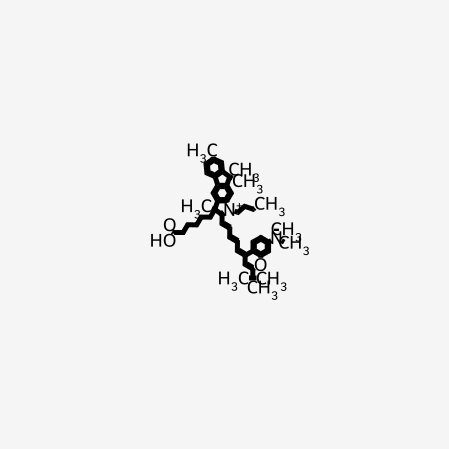 CCCC[N+]1=C(/C=C/C=C/C=C2/C=C(C(C)(C)C)Oc3cc(N(C)C)ccc32)C(C)(CCCCCC(=O)O)c2cc3c(cc21)C(C)(C)c1cc(C)ccc1-3